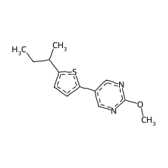 CCC(C)c1ccc(-c2cnc(OC)nc2)s1